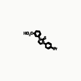 CC(C)C1=CCC(N2CCN(c3cccc(C(=O)O)c3)C2=S)C=C1